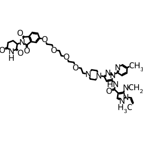 C=Nc1c(C(=O)Nc2cc(N3CCN(CCOCCOCCOCCOc4ccc5c(c4)C(=O)N(C4CCC(=O)NC4=O)C5=O)CC3)nn2-c2ccc(C)cn2)cnn1/C=C\C